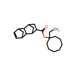 CCC1(OC(=O)C2CC3CC2C2C4C=CC(C4)C32)CCCCCCC1